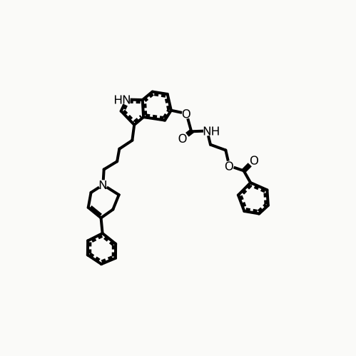 O=C(NCCOC(=O)c1ccccc1)Oc1ccc2[nH]cc(CCCCN3CC=C(c4ccccc4)CC3)c2c1